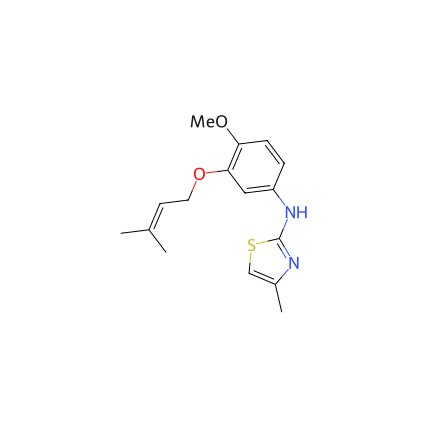 COc1ccc(Nc2nc(C)cs2)cc1OCC=C(C)C